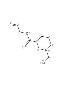 C=CCOC(=O)C1CCCN(CO)C1